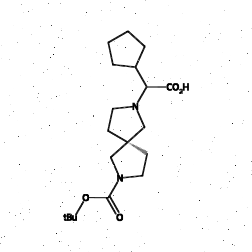 CC(C)(C)OC(=O)N1CC[C@@]2(CCN(C(C(=O)O)C3CCCC3)C2)C1